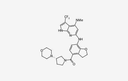 CNc1cc(Nc2ccc(C(=O)N3CC[C@H](N4CCOCC4)C3)c3c2OCC3)nc2[nH]cc(C(F)(F)F)c12